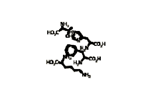 CC(O)C(N)C(=O)O.NC(Cc1c[nH]cn1)C(=O)O.NC(Cc1ccccc1)C(=O)O.NCCCCC(N)C(=O)O